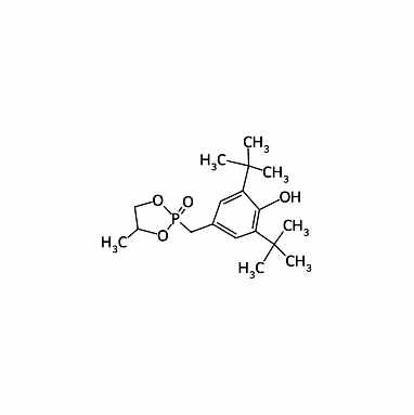 CC1COP(=O)(Cc2cc(C(C)(C)C)c(O)c(C(C)(C)C)c2)O1